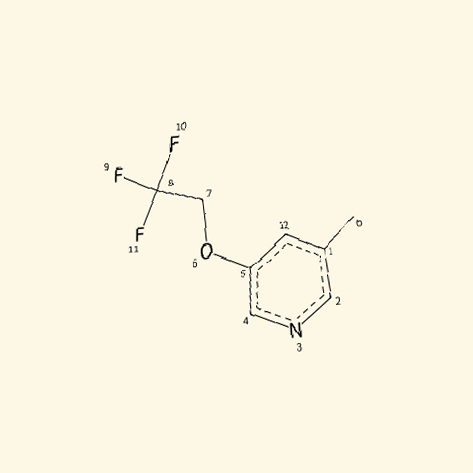 Cc1cncc(OCC(F)(F)F)c1